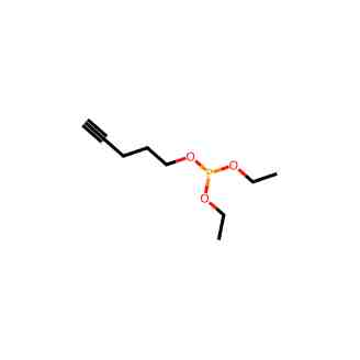 C#CCCCOP(OCC)OCC